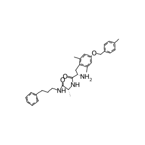 Cc1ccc(COc2cc(C)c(C[C@H](N)C(=O)N[C@H](C)C(=O)NCCCc3ccccc3)c(C)c2)cc1